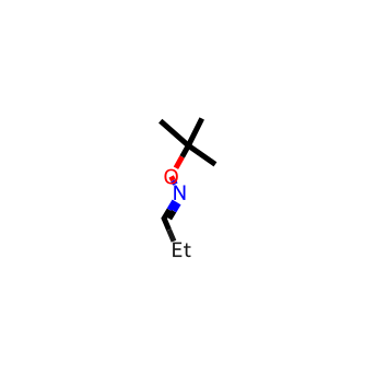 [CH2]CC=NOC(C)(C)C